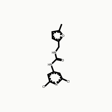 Cc1ccc(CNC(=O)Nc2cc(Cl)nc(Cl)c2)o1